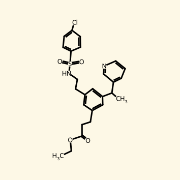 CCOC(=O)CCc1cc(CCNS(=O)(=O)c2ccc(Cl)cc2)cc(C(C)c2cccnc2)c1